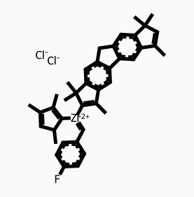 CC1=CC(C)[C]([Zr+2](=[CH]c2ccc(F)cc2)[C]2=C(C)c3cc4c(cc3C2(C)C)Cc2cc3c(cc2-4)C(C)=CC3(C)C)=C1C.[Cl-].[Cl-]